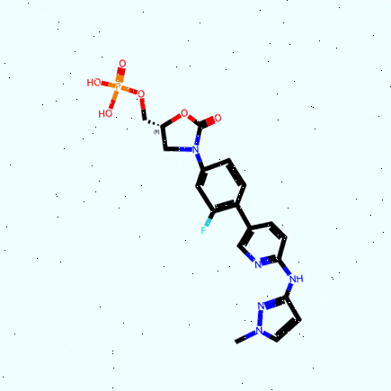 Cn1ccc(Nc2ccc(-c3ccc(N4C[C@H](COP(=O)(O)O)OC4=O)cc3F)cn2)n1